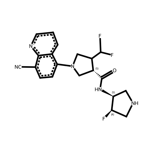 N#Cc1ccc(N2CC(C(F)F)[C@H](C(=O)N[C@H]3CNC[C@H]3F)C2)c2cccnc12